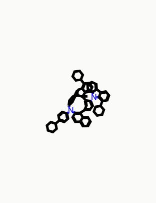 CC12c3ccc(cc3-c3c(C4CCCCC4)cccc31)N(c1ccc(C3CCCCC3)cc1)c1ccc3ccccc3c1-c1ccc(-n3c4ccccc4c4cccc(C5CCCCC5)c43)c2c1